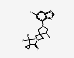 C[C@@H]1CN(c2cc(F)cc3ncsc23)CC12CN(C(=O)C1(C(F)(F)F)CC1)C2